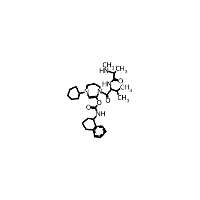 CNC(C)C(=O)NC(C(=O)N1CCCN(C2CCCCC2)C=C1OC(=O)NC1CCCc2ccccc21)C(C)C